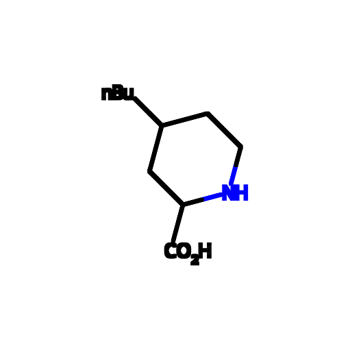 CCCCC1CCNC(C(=O)O)C1